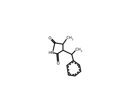 CC1C(=O)NC(=O)C1C(C)c1ccccc1